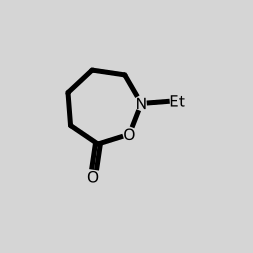 CCN1CCCCC(=O)O1